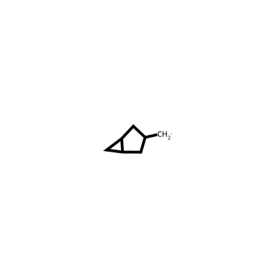 [CH2]C1CC2CC2C1